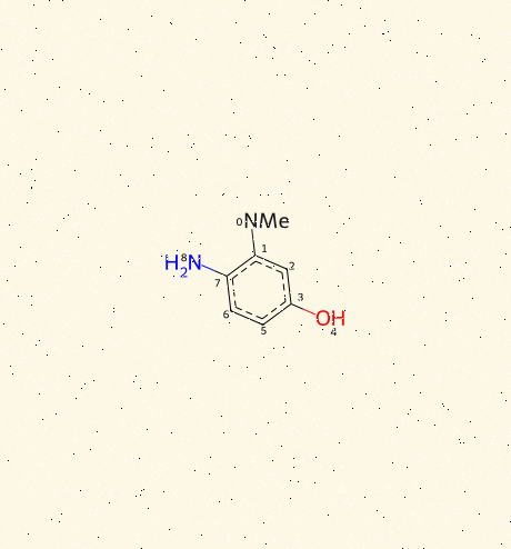 CNc1cc(O)ccc1N